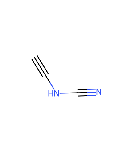 C#CNC#N